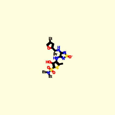 CCc1coc([C@H](Nc2n[s+]([O-])nc2Nc2c(C)sc(S(=O)(=O)N(CC)CC)c2O)C(C)C)c1